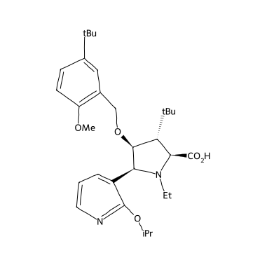 CCN1[C@H](C(=O)O)[C@@H](C(C)(C)C)[C@H](OCc2cc(C(C)(C)C)ccc2OC)[C@@H]1c1cccnc1OC(C)C